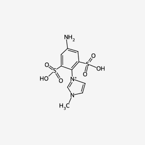 Cn1cc[n+](-c2c(S(=O)(=O)O)cc(N)cc2S(=O)(=O)O)c1